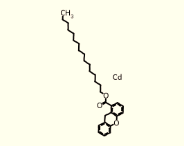 CCCCCCCCCCCCCCCCOC(=O)c1cccc2c1Cc1ccccc1O2.[Cd]